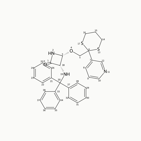 O=C1N[C@H](OCC2(c3cccnc3)SCCCS2)[C@@H]1NC(c1ccccc1)(c1ccccc1)c1ccccc1